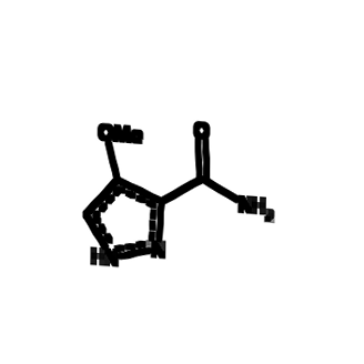 COc1c[nH]nc1C(N)=O